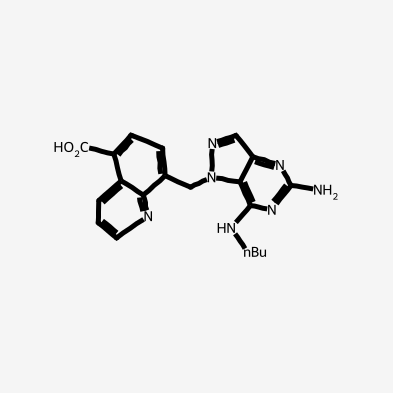 CCCCNc1nc(N)nc2cnn(Cc3ccc(C(=O)O)c4cccnc34)c12